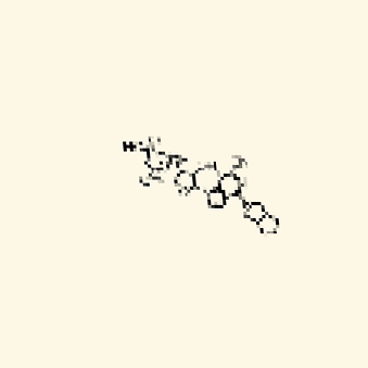 N#Cc1nc(N2CC3CCCC3C2)c2ccn([C@@H]3O[C@H](CS(=O)(=O)CP(=O)(O)O)[C@@H](O)[C@H]3O)c2n1